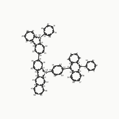 c1ccc(-c2c3ccccc3c(-c3ccc(-n4c5cc(-c6ccc7c(c6)c6ccccc6n7-c6ccccc6)ccc5c5cc6ccccc6cc54)cc3)c3ccccc23)cc1